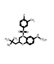 Cc1cc(S(=O)(=O)N2CC(CC(C)(C)C#N)Oc3ccc(NC(=O)O)cc32)ccc1F